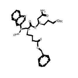 CCCCCCCCCCCCC[C@H](CC(N)=O)OC(=O)[C@@H](CCCC(=O)OCc1ccccc1)N(C=O)c1cnc2ccccc2c1